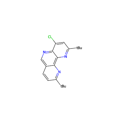 CC(C)(C)c1ccc2cnc3c(Cl)cc(C(C)(C)C)nc3c2n1